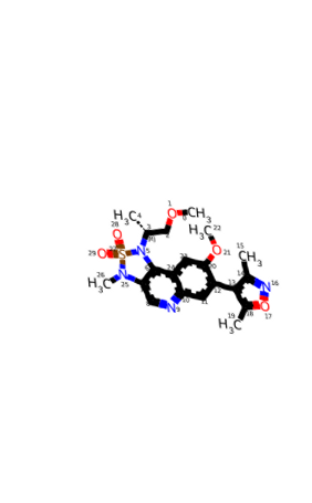 COC[C@@H](C)N1c2c(cnc3cc(-c4c(C)noc4C)c(OC)cc23)N(C)S1(=O)=O